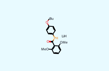 CCC(C)Oc1ccc(PC(=O)c2c(OC)cccc2OC)cc1.[LiH]